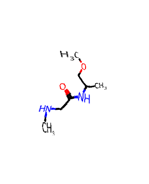 CNCC(=O)NC(C)COC